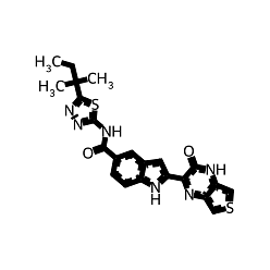 CCC(C)(C)c1nnc(NC(=O)c2ccc3[nH]c(-c4nc5cscc5[nH]c4=O)cc3c2)s1